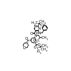 CC(C)CN(C(=O)c1cnc(C(C)(C)C)nc1NCc1ccccc1)C1C[C@@H](C(=O)N2CCOCC2)CN(C(=O)OC(C)(C)C)C1